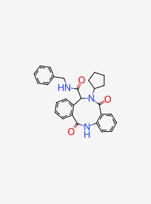 O=C1Nc2ccccc2C(=O)N(C2CCCC2)C(C(=O)NCc2ccccc2)c2ccccc21